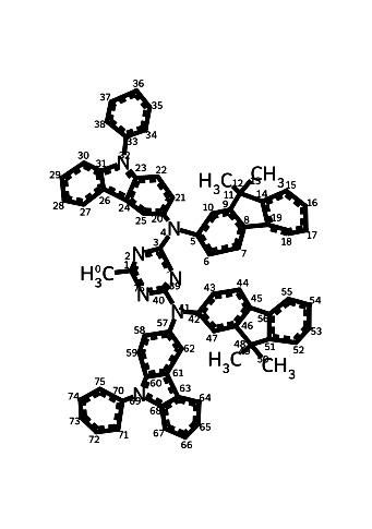 Cc1nc(N(c2ccc3c(c2)C(C)(C)c2ccccc2-3)c2ccc3c(c2)c2ccccc2n3-c2ccccc2)nc(N(c2ccc3c(c2)C(C)(C)c2ccccc2-3)c2ccc3c(c2)c2ccccc2n3-c2ccccc2)n1